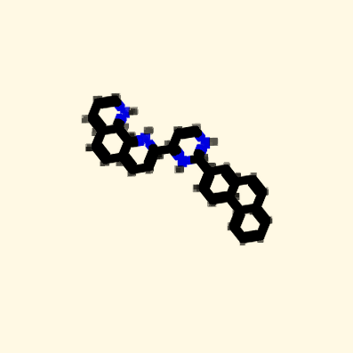 c1ccc2c(c1)ccc1cc(-c3nccc(-c4ccc5ccc6cccnc6c5n4)n3)ccc12